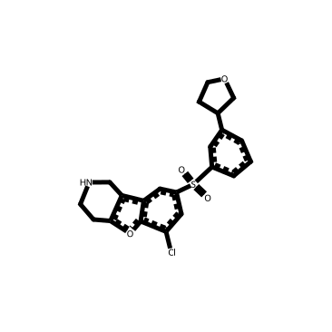 O=S(=O)(c1cccc(C2CCOC2)c1)c1cc(Cl)c2oc3c(c2c1)CNCC3